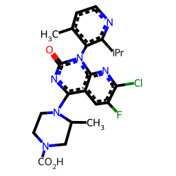 Cc1ccnc(C(C)C)c1-n1c(=O)nc(N2CCN(C(=O)O)CC2C)c2cc(F)c(Cl)nc21